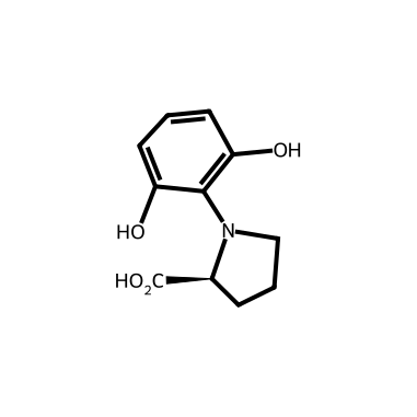 O=C(O)[C@@H]1CCCN1c1c(O)cccc1O